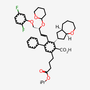 CC(C)OC(=O)CCCc1cc(-c2ccccc2)c(/C=C/[C@H](COc2cc(F)ccc2F)OC2CCCCO2)c([C@@H]2C[C@H]3CCCCO[C@H]3C2)c1C(=O)O